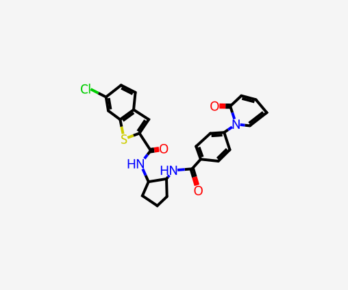 O=C(NC1CCCC1NC(=O)c1cc2ccc(Cl)cc2s1)c1ccc(-n2ccccc2=O)cc1